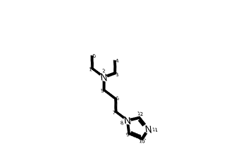 CCN(CC)CCCn1c[c]nc1